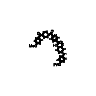 COc1ccc(C(=O)C2CCN(C(=O)c3ccc(C(=O)NC4CCN(Cc5ccc(OC(C)C)cc5)CC4F)cn3)CC2)cc1